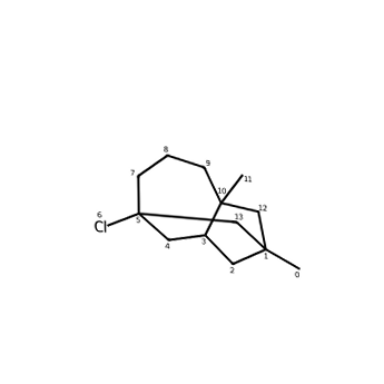 CC12CC3CC(Cl)(CCCC3(C)C1)C2